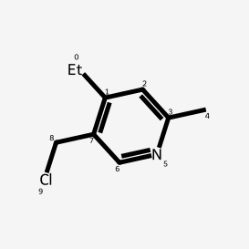 CCc1cc(C)ncc1CCl